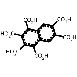 O=C(O)c1cc2c(C(=O)O)c(C(=O)O)c(C(=O)O)c(C(=O)O)c2cc1C(=O)O